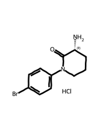 Cl.N[C@@H]1CCCN(c2ccc(Br)cc2)C1=O